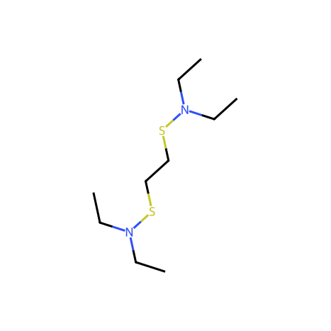 CCN(CC)SCCSN(CC)CC